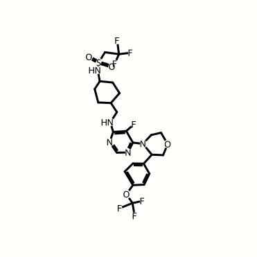 O=S(=O)(CC(F)(F)F)NC1CCC(CNc2ncnc(N3CCOCC3c3ccc(OC(F)(F)F)cc3)c2F)CC1